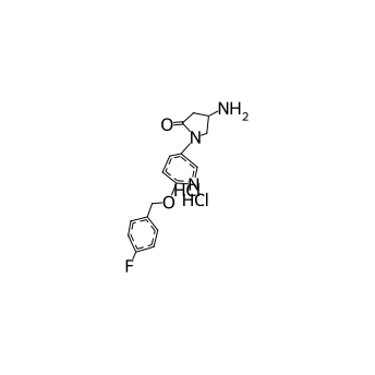 Cl.Cl.NC1CC(=O)N(c2ccc(OCc3ccc(F)cc3)nc2)C1